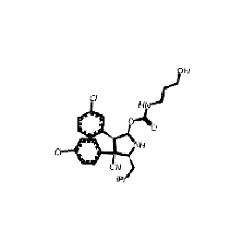 CC(C)C[C@@H]1N[C@H](OC(=O)NCCCO)[C@H](c2cccc(Cl)c2)[C@@]1(C#N)c1ccc(Cl)cc1